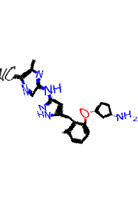 Cc1nc(Nc2cc(-c3ccccc3O[C@@H]3CC[C@H](N)C3)[nH]n2)cnc1C#N